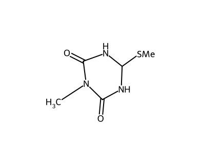 CSC1NC(=O)N(C)C(=O)N1